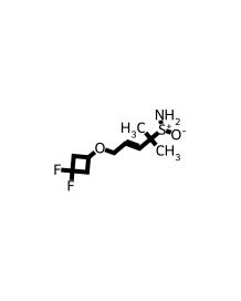 CC(C)(C=CCOC1CC(F)(F)C1)[S+](N)[O-]